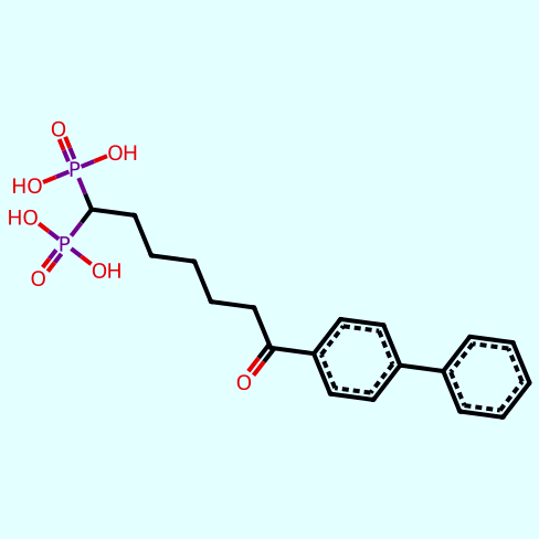 O=C(CCCCCC(P(=O)(O)O)P(=O)(O)O)c1ccc(-c2ccccc2)cc1